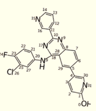 Oc1ccc(-c2ccc3nc(-c4cccnc4)nc(Nc4ccc(F)c(Cl)c4)c3c2)cn1